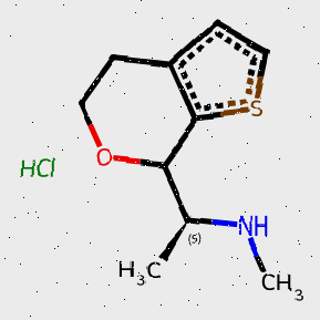 CN[C@@H](C)C1OCCc2ccsc21.Cl